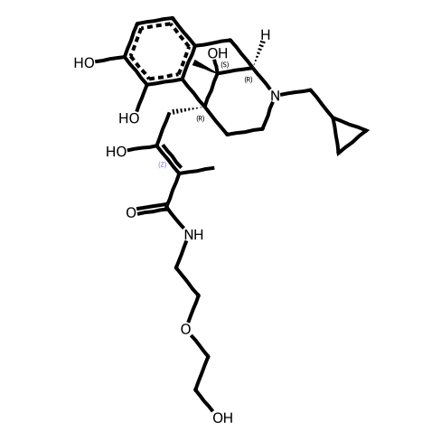 C/C(C(=O)NCCOCCO)=C(/O)C[C@]12CCN(CC3CC3)[C@H](Cc3ccc(O)c(O)c31)[C@@]2(C)O